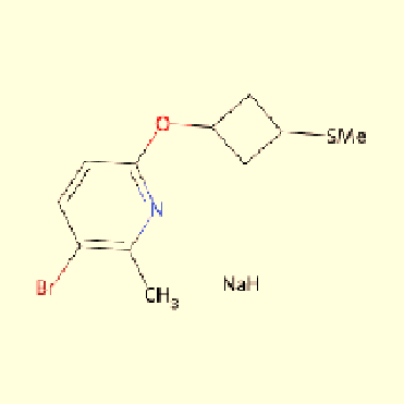 CSC1CC(Oc2ccc(Br)c(C)n2)C1.[NaH]